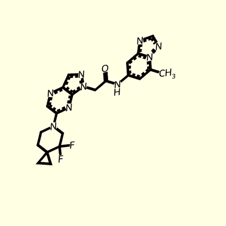 Cc1cc(NC(=O)Cn2ncc3ncc(N4CCC5(CC5)C(F)(F)C4)nc32)cc2ncnn12